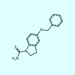 NC(=S)N1CCc2cc(OCc3ccccc3)ccc21